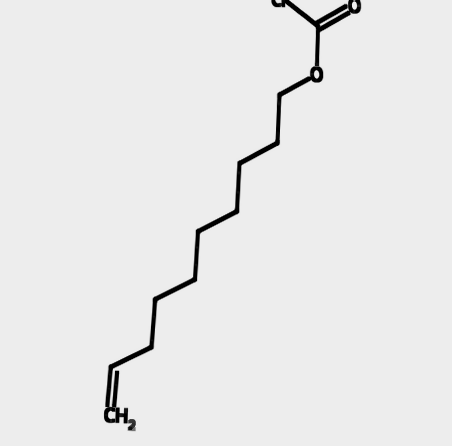 C=CCCCCCCCCOC(=O)Cl